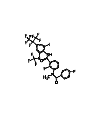 CN(C(=O)c1ccc(F)cc1)c1cccc(C(=O)Nc2c(I)cc(C(F)(C(F)(F)F)C(F)(F)F)cc2SC(F)(F)F)c1F